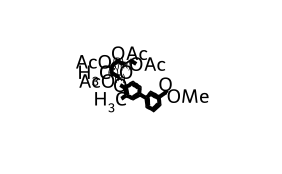 COC(=O)c1cccc(-c2ccc(O[C@H]3O[C@H](COC(C)=O)[C@@H](OC(C)=O)[C@H](OC(C)=O)[C@]3(C)OC(C)=O)c(C)c2)c1